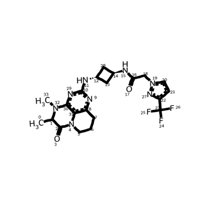 CC1C(=O)N2CCCc3nc(N[C@H]4C[C@H](NC(=O)Cn5ccc(C(F)(F)F)n5)C4)nc(c32)N1C